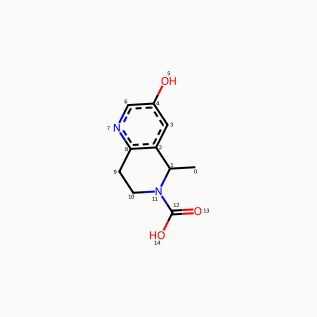 CC1c2cc(O)cnc2CCN1C(=O)O